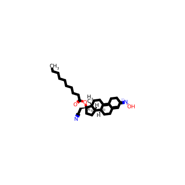 CCCCCCCCCC(=O)O[C@@]1(CC#N)CC[C@H]2[C@@H]3CCC4=C/C(=N\O)CCC4=C3CC[C@@]21C